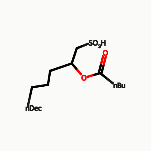 CCCCCCCCCCCCCC(CS(=O)(=O)O)OC(=O)CCCC